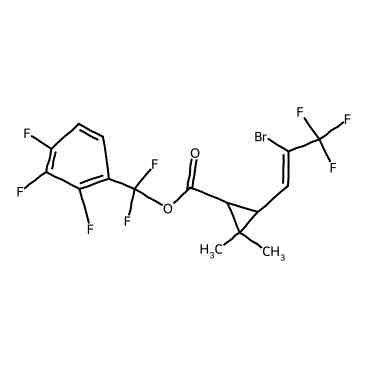 CC1(C)C(C=C(Br)C(F)(F)F)C1C(=O)OC(F)(F)c1ccc(F)c(F)c1F